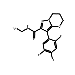 CCNC(=O)c1nn2c(c1-c1cc(F)c(Cl)cc1F)OCCC2